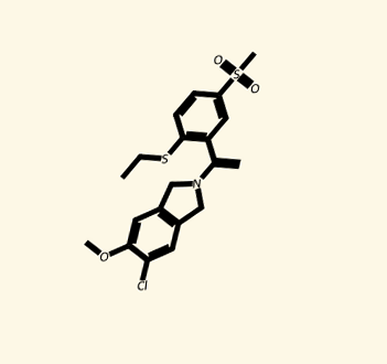 C=C(c1cc(S(C)(=O)=O)ccc1SCC)N1Cc2cc(Cl)c(OC)cc2C1